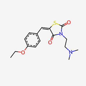 CCOc1ccc(C=C2SC(=O)N(CCN(C)C)C2=O)cc1